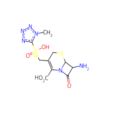 Cn1nnnc1[SH](=O)(O)CC1=C(C(=O)O)N2C(=O)C(N)C2SC1